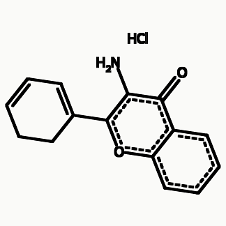 Cl.Nc1c(C2=CC=CCC2)oc2ccccc2c1=O